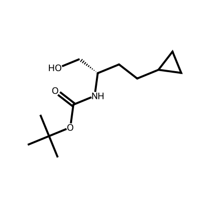 CC(C)(C)OC(=O)N[C@H](CO)CCC1CC1